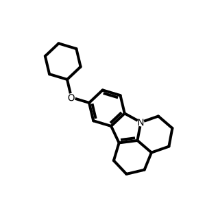 c1cc2c(cc1OC1CCCCC1)c1c3n2CCCC3CCC1